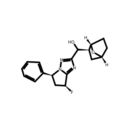 OC(c1nc2n(n1)[C@H](c1ccccc1)C[C@@H]2F)[C@@H]1C[C@H]2CC[C@@H]1O2